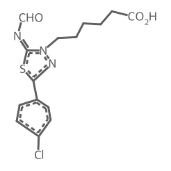 O=CN=c1sc(-c2ccc(Cl)cc2)nn1CCCCCC(=O)O